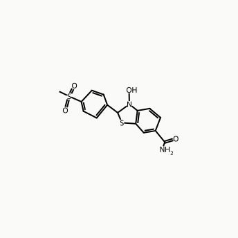 CS(=O)(=O)c1ccc(C2Sc3cc(C(N)=O)ccc3N2O)cc1